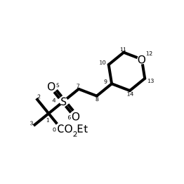 CCOC(=O)C(C)(C)S(=O)(=O)CCC1CCOCC1